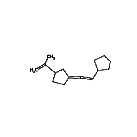 C=C(C)C1CCC(=C=CC2CCCC2)C1